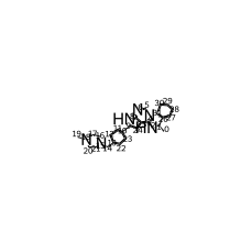 C[C@@H](Nc1ncnc2[nH]c(-c3ccc(CN4CCN(C)CC4)cc3)cc12)c1ccccc1